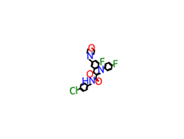 O=C(NCc1ccc(Cl)cc1)c1cn(-c2ccc(F)cc2F)c2ccc(CN3CCOCC3)cc2c1=O